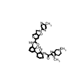 Cc1cnc(N2Cc3cnc(C(=O)Nc4cccc(-c5cccc(NC(=O)c6nc7c(n6C)CCN(C)C7)c5Cl)c4C)cc3O2)cn1